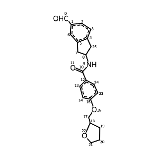 O=Cc1ccc2c(c1)CC(NC(=O)c1ccc(OCC3CCCO3)cc1)C2